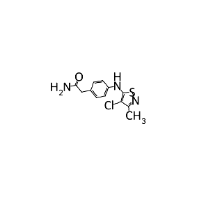 Cc1nsc(Nc2ccc(CC(N)=O)cc2)c1Cl